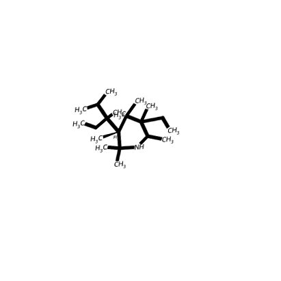 CCC1(C)C(C)NC(C)(C)[C@](C)(C(C)(CC)C(C)C)C1(C)C